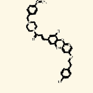 Cc1cc(C=CC(=O)N2CCN(Cc3ccc(OC(F)(F)F)cc3)CC2)cc(Cl)c1Oc1ccc(OCCc2ccc(Cl)cc2)cn1